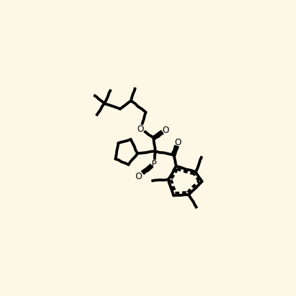 Cc1cc(C)c(C(=O)C(P=O)(C(=O)OCC(C)CC(C)(C)C)C2CCCC2)c(C)c1